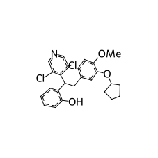 COc1ccc(CC(c2ccccc2O)c2c(Cl)cncc2Cl)cc1OC1CCCC1